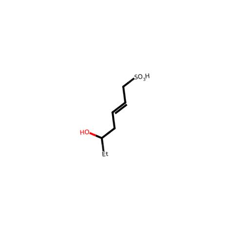 CCC(O)C/C=C/CS(=O)(=O)O